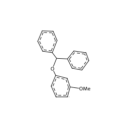 COc1[c]ccc(OC(c2ccccc2)c2ccccc2)c1